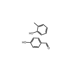 Cc1ccccc1O.O=Cc1ccc(O)cc1